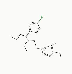 CCC[C@@H](c1ccc(F)cc1)C(CC)CCc1ccc(CC)c(C)c1